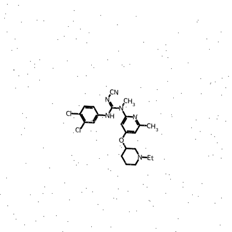 CCN1CCCC(Oc2cc(C)nc(N(C)/C(=N\C#N)Nc3ccc(Cl)c(Cl)c3)c2)C1